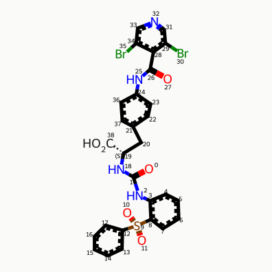 O=C(Nc1ccccc1S(=O)(=O)c1ccccc1)N[C@@H](Cc1ccc(NC(=O)c2c(Br)cncc2Br)cc1)C(=O)O